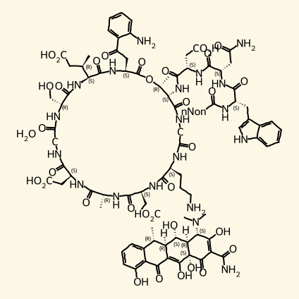 CCCCCCCCCC(=O)N[C@@H](Cc1c[nH]c2ccccc12)C(=O)N[C@@H](CC(N)=O)C(=O)N[C@@H](CC(=O)O)C(=O)N[C@@H]1C(=O)NCC(=O)N[C@@H](CCCN)C(=O)N[C@@H](CC(=O)O)C(=O)N[C@H](C)C(=O)N[C@@H](CC(=O)O)C(=O)NCC(=O)N[C@H](CO)C(=O)N[C@@H]([C@H](C)CC(=O)O)C(=O)N[C@@H](CC(=O)c2ccccc2N)C(=O)O[C@@H]1C.C[C@H]1c2cccc(O)c2C(=O)C2=C(O)[C@]3(O)C(=O)C(C(N)=O)=C(O)[C@@H](N(C)C)[C@@H]3[C@@H](O)[C@@H]21.O